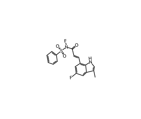 Cc1c[nH]c2c(/C=C/C(=O)N(F)S(=O)(=O)c3ccccc3)cc(F)cc12